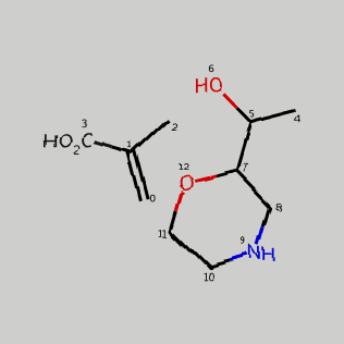 C=C(C)C(=O)O.CC(O)C1CNCCO1